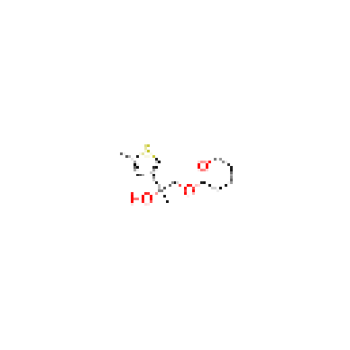 Cc1cc(C(C)(O)COC2CCCCO2)cs1